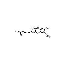 COc1cc(CC(CCCCCCC(N)=O)C(N)=O)ccc1O